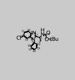 CC(NC(=O)OC(C)(C)C)c1nc2ccc(Cl)cc2n1-c1ccccc1